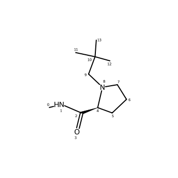 CNC(=O)[C@@H]1CCCN1CC(C)(C)C